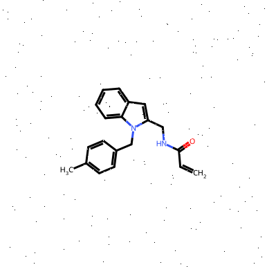 C=CC(=O)NCc1cc2ccccc2n1Cc1ccc(C)cc1